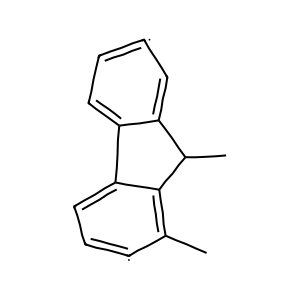 Cc1[c]ccc2c1C(C)c1c[c]ccc1-2